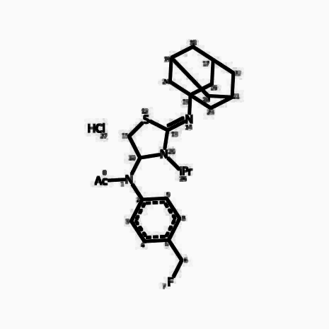 CC(=O)N(c1ccc(CF)cc1)C1CSC(=NC23CC4CC(CC(C4)C2)C3)N1C(C)C.Cl